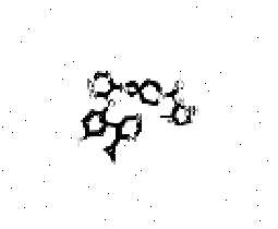 C[C@@H]1CCN[C@@H]1C(=O)N1CCC2(CC1)CN(c1ncnnc1Oc1ccc(F)cc1-c1cncnc1C1CC1)C2